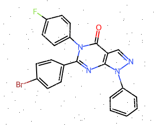 O=c1c2cnn(-c3ccccc3)c2nc(-c2ccc(Br)cc2)n1-c1ccc(F)cc1